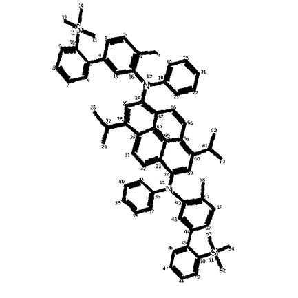 Cc1ccc(-c2ccccc2[Si](C)(C)C)cc1N(c1ccccc1)c1cc(C(C)C)c2ccc3c(N(c4ccccc4)c4cc(-c5ccccc5[Si](C)(C)C)ccc4C)cc(C(C)C)c4ccc1c2c43